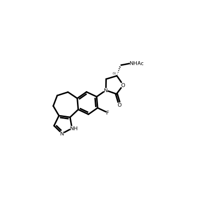 CC(=O)NC[C@H]1CN(c2cc3c(cc2F)-c2[nH]ncc2CCC3)C(=O)O1